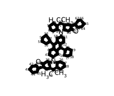 CC1(C)c2ccccc2N(c2ccc3c(-c4ccccc4)c4cc(N5c6ccccc6C(C)(C)c6cc7c(cc65)oc5ccccc57)ccc4c(-c4ccccc4)c3c2)c2cc3oc4ccccc4c3cc21